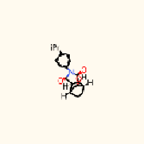 CC(C)c1ccc(N2C(=O)[C@@H]3[C@H]4CC[C@H](C(=O)C4)[C@@H]3C2=O)cc1